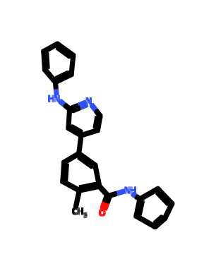 Cc1ccc(-c2ccnc(Nc3ccccc3)c2)cc1C(=O)Nc1ccccc1